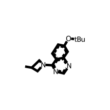 CC1CN(c2ncnc3cc(OC(C)(C)C)ccc23)C1